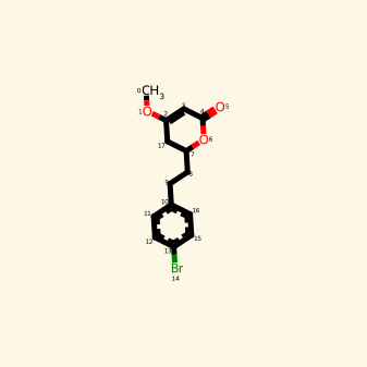 COC1=CC(=O)OC(CCc2ccc(Br)cc2)C1